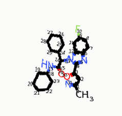 Cc1cc(-c2nc3ccc(F)cc3n2C(C(=O)NC2CCCCC2)C2CCCCC2)on1